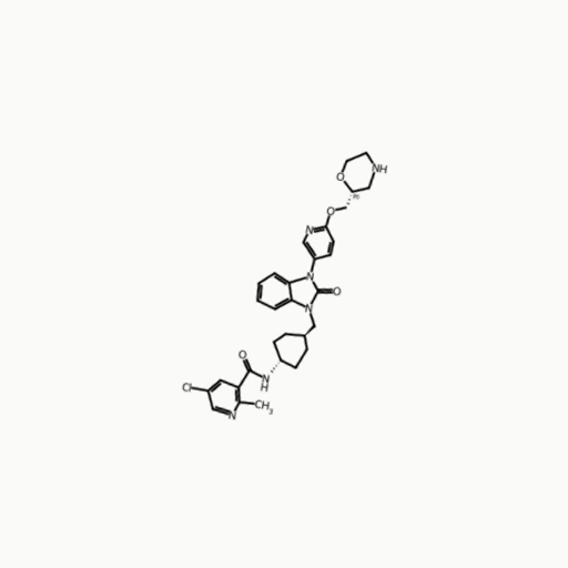 Cc1ncc(Cl)cc1C(=O)N[C@H]1CC[C@H](Cn2c(=O)n(-c3ccc(OC[C@H]4CNCCO4)nc3)c3ccccc32)CC1